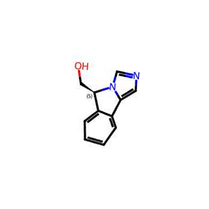 OC[C@@H]1c2ccccc2-c2cncn21